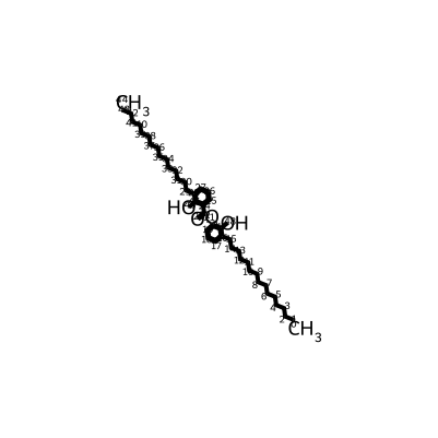 CCCCCCCCCCCCCCCCc1cccc(OC(=O)c2cccc(CCCCCCCCCCCCCCCC)c2O)c1O